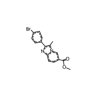 COC(=O)c1ccc2nc(-c3ccc(Br)cc3)c(C)n2c1